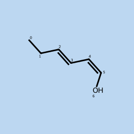 CC/C=C/C=C\O